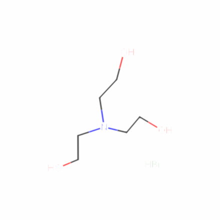 Br.OCCN(CCO)CCO